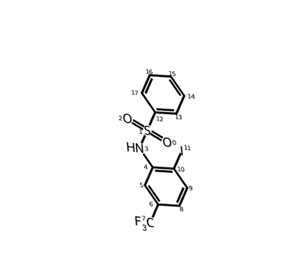 O=S(=O)(Nc1cc(C(F)(F)F)ccc1I)c1ccccc1